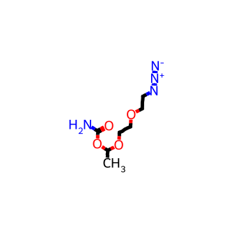 CC(OCCOCCN=[N+]=[N-])OC(N)=O